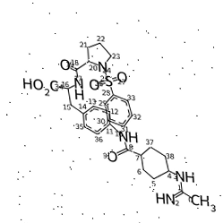 CC(=N)NC1CCC(C(=O)Nc2ccc(CC(NC(=O)C3CCCN3S(=O)(=O)c3ccccc3)C(=O)O)cc2)CC1